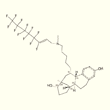 CN(CC=C(F)C(F)(F)C(F)(F)C(F)(F)C(F)(F)C(F)(F)F)CCCCC[C@H]1C[C@]2(C)[C@@H](O)CC[C@H]2[C@@H]2CCc3cc(O)ccc3[C@@H]12